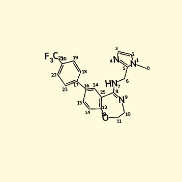 Cn1ccnc1CNC1=NCCOc2ccc(-c3ccc(C(F)(F)F)cc3)cc21